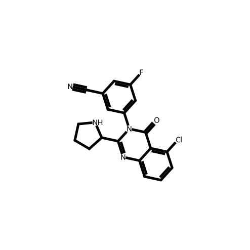 N#Cc1cc(F)cc(-n2c(C3CCCN3)nc3cccc(Cl)c3c2=O)c1